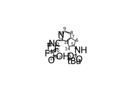 CC(C)(C)OC(=O)NC1Cc2ccnc(C#N)c2C1.O=C(O)C(F)(F)F